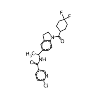 CC(NC(=O)c1ccc(Cl)nc1)c1ccc2c(c1)CCN2C(=O)C1CCC(F)(F)CC1